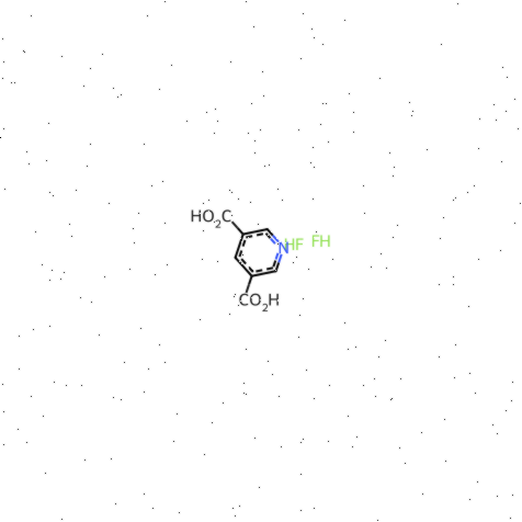 F.F.O=C(O)c1cncc(C(=O)O)c1